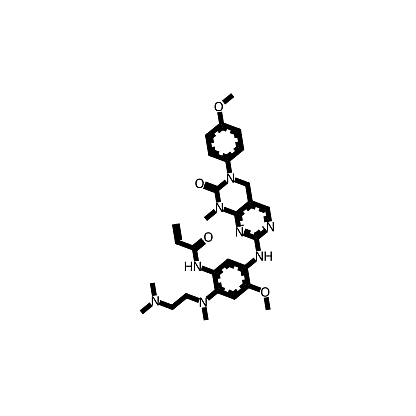 C=CC(=O)Nc1cc(Nc2ncc3c(n2)N(C)C(=O)N(c2ccc(OC)cc2)C3)c(OC)cc1N(C)CCN(C)C